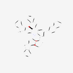 CC1(C)c2cc(N(c3ccc4c(c3)C(C)(C)c3ccccc3-4)c3c(C4=CC=CCC4)cc(-c4ccc5ccccc5c4)cc3-c3ccc4ccccc4c3)c#cc2-c2ccccc21